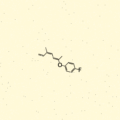 C=C/C(C)=C\C=C(/C)Oc1ccc(F)cc1